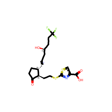 O=C(O)c1csc(SCC[C@H]2C(=O)CC[C@@H]2/C=C/C[C@@H](O)CCC(F)(F)F)n1